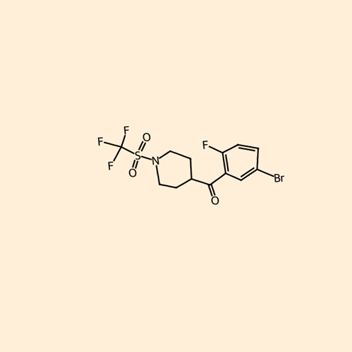 O=C(c1cc(Br)ccc1F)C1CCN(S(=O)(=O)C(F)(F)F)CC1